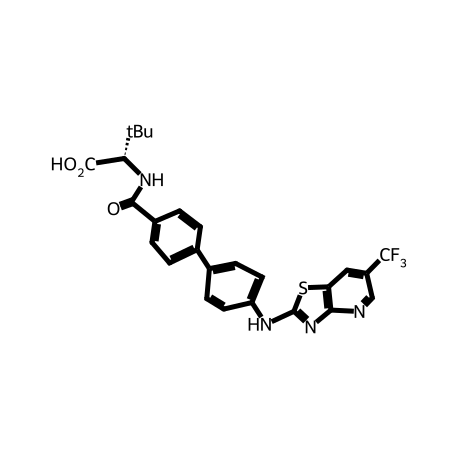 CC(C)(C)[C@H](NC(=O)c1ccc(-c2ccc(Nc3nc4ncc(C(F)(F)F)cc4s3)cc2)cc1)C(=O)O